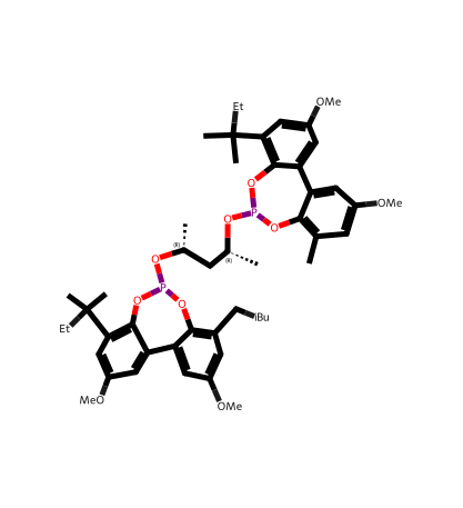 CCC(C)Cc1cc(OC)cc2c1op(O[C@H](C)C[C@@H](C)Op1oc3c(C)cc(OC)cc3c3cc(OC)cc(C(C)(C)CC)c3o1)oc1c(C(C)(C)CC)cc(OC)cc12